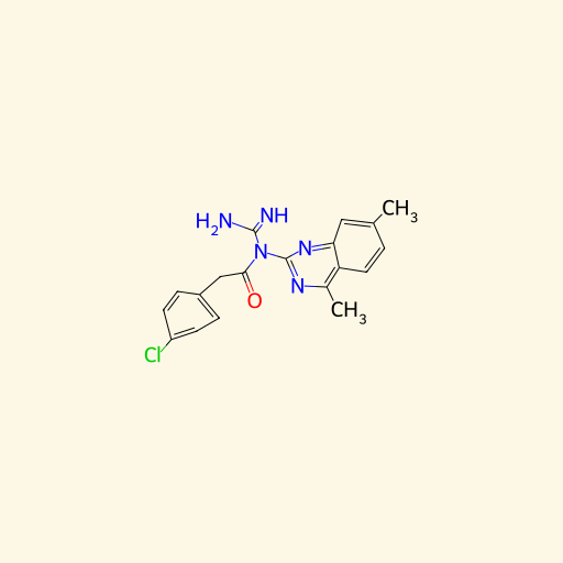 Cc1ccc2c(C)nc(N(C(=N)N)C(=O)Cc3ccc(Cl)cc3)nc2c1